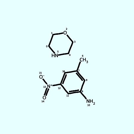 C1COCCN1.Cc1cc(N)cc([N+](=O)[O-])c1